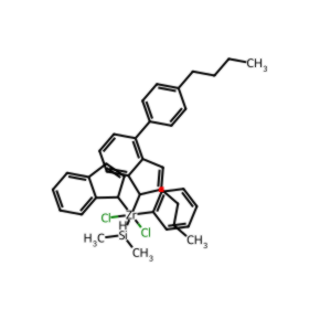 CCCCc1ccc(-c2cccc3c2C=C(CCC)[CH]3[Zr]([Cl])([Cl])([c]2ccccc2)([CH]2C=Cc3ccccc32)[SiH](C)C)cc1